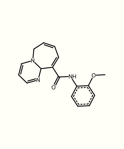 COc1ccccc1NC(=O)C1=CC=CCN2C=CC=NC12